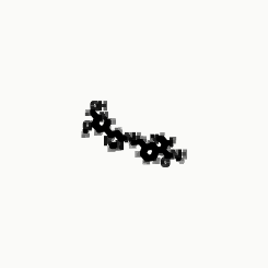 CNC(=O)c1c(F)cnc2c(CCNc3cc(-c4cnc(CO)c(OC)c4)ncn3)cccc12